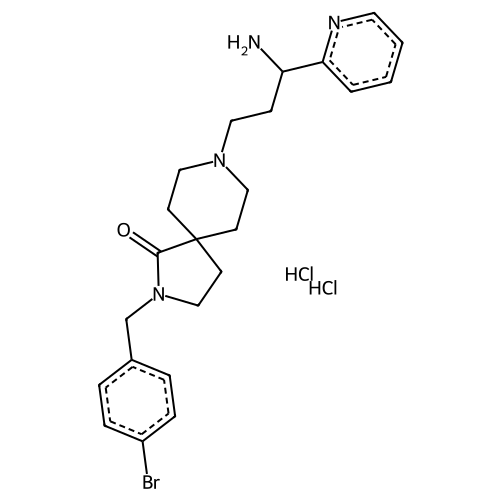 Cl.Cl.NC(CCN1CCC2(CC1)CCN(Cc1ccc(Br)cc1)C2=O)c1ccccn1